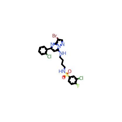 O=S(=O)(NCCCCNc1cc(-c2ccccc2Cl)nc2c(Br)cnn12)c1ccc(F)c(Cl)c1